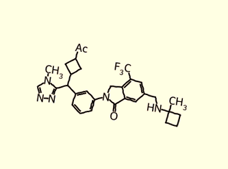 CC(=O)C1CC(C(c2cccc(N3Cc4c(cc(CNC5(C)CCC5)cc4C(F)(F)F)C3=O)c2)c2nncn2C)C1